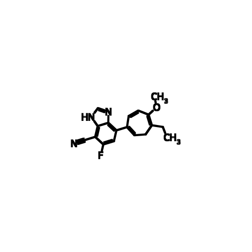 CCC1=C(OC)C=CC(c2cc(F)c(C#N)c3[nH]cnc23)=CC1